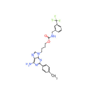 Cc1ccc(-c2nc(N)c3ncn(CCCCOC(=O)NCc4cccc(C(F)(F)F)c4)c3n2)cc1